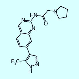 O=C(CN1CCCC1)Nc1ncc2ccc(-c3cn[nH]c3C(F)(F)F)cc2n1